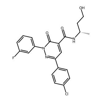 C[C@@H](CCO)NC(=O)c1cc(-c2ccc(Cl)cc2)nn(-c2cccc(F)c2)c1=O